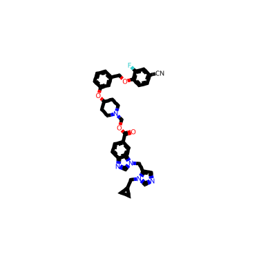 N#Cc1ccc(OCc2cccc(OC3CCN(COC(=O)c4ccc5ncn(Cc6cncn6CC6CC6)c5c4)CC3)c2)c(F)c1